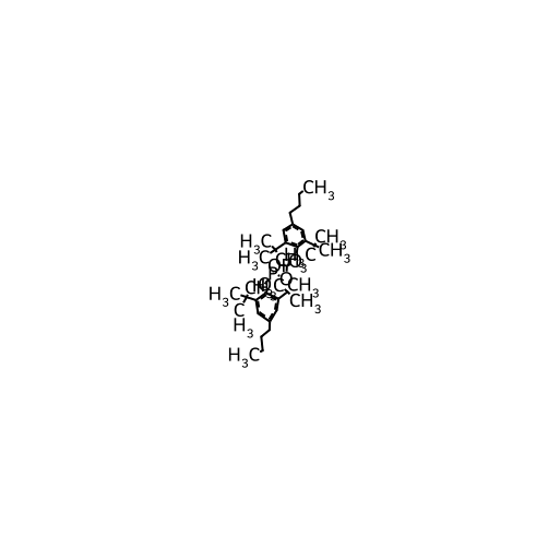 CCCCc1cc(C(C)(C)C)c(OP2OP(Oc3c(C(C)(C)C)cc(CCCC)cc3C(C)(C)C)O2)c(C(C)(C)C)c1